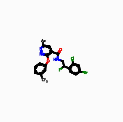 CC(=O)c1cc(C(=O)NCC(F)c2ccc(Br)cc2Cl)c(Oc2cccc(C(F)(F)F)c2)nn1